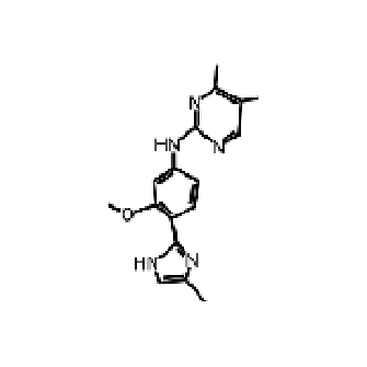 COc1cc(Nc2ncc(C)c(C)n2)ccc1-c1nc(C)c[nH]1